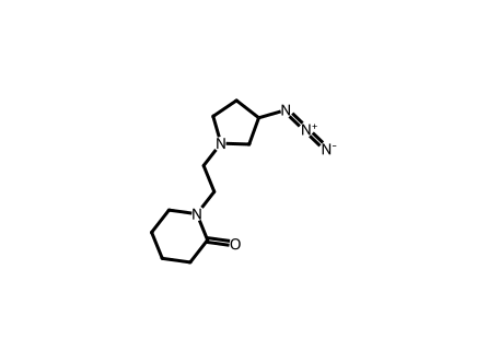 [N-]=[N+]=NC1CCN(CCN2CCCCC2=O)C1